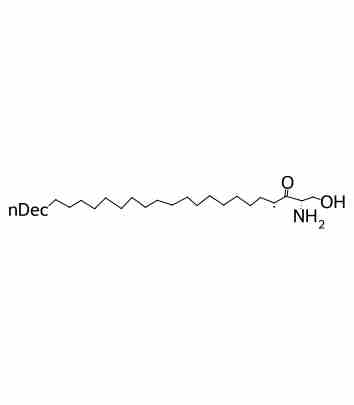 CCCCCCCCCCCCCCCCCCCCCCCCCCC[CH]C(=O)[C@@H](N)CO